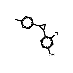 Cc1ccc(C2CC2c2ccc(O)cc2Cl)cc1